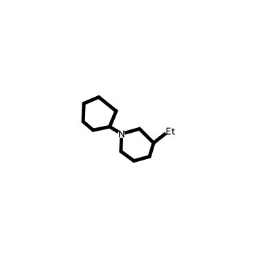 CCC1CCCN(C2CCCCC2)C1